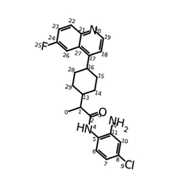 CC(C(=O)Nc1ccc(Cl)cc1N)C1CCC(c2ccnc3ccc(F)cc23)CC1